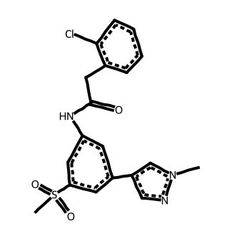 Cn1cc(-c2cc(NC(=O)Cc3ccccc3Cl)cc(S(C)(=O)=O)c2)cn1